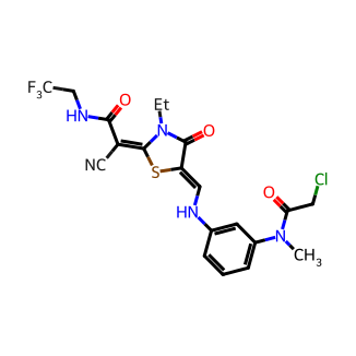 CCn1c(=C(C#N)C(=O)NCC(F)(F)F)sc(=CNc2cccc(N(C)C(=O)CCl)c2)c1=O